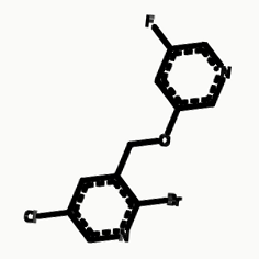 Fc1cncc(OCc2cc(Cl)cnc2Br)c1